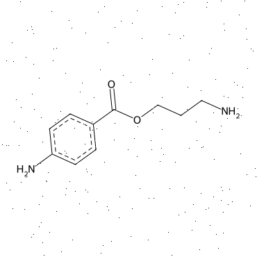 NCCCOC(=O)c1ccc(N)cc1